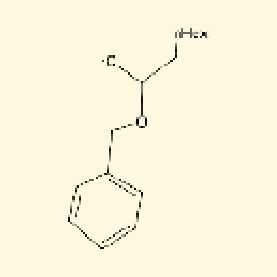 CCCCCCCC([O])OCc1ccccc1